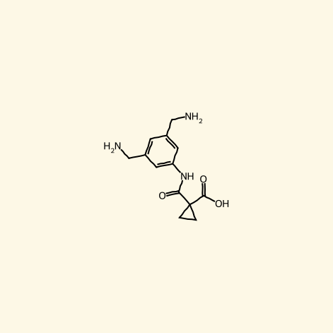 NCc1cc(CN)cc(NC(=O)C2(C(=O)O)CC2)c1